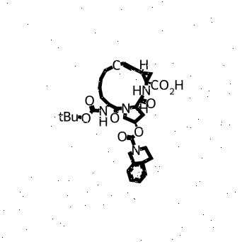 CC(C)(C)OC(=O)N[C@H]1CCCCCC=C[C@H]2C[C@]2(C(=O)O)NC(=O)[C@@H]2C[C@@H](OC(=O)N3CCc4ccccc4C3)CN2C1=O